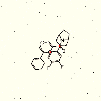 O=C(C1=COC=C(C2=CC=CCC2)O1)N1C2CCC1CC(c1ccc(F)c(F)c1)C2